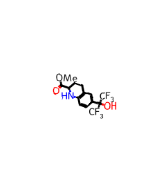 COC(=O)C1CCc2cc(C(O)(C(F)(F)F)C(F)(F)F)ccc2N1